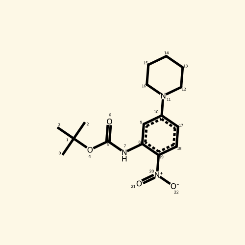 CC(C)(C)OC(=O)Nc1cc(N2CCCCC2)ccc1[N+](=O)[O-]